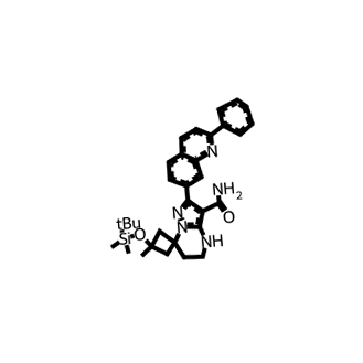 CC1(O[Si](C)(C)C(C)(C)C)CC2(CCNc3c(C(N)=O)c(-c4ccc5ccc(-c6ccccc6)nc5c4)nn32)C1